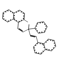 C(=CC1(c2ccccc2)C=Cc2c(ccc3ccccc23)O1)c1cccc2ccccc12